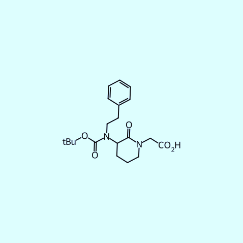 CC(C)(C)OC(=O)N(CCc1ccccc1)C1CCCN(CC(=O)O)C1=O